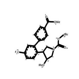 COC(=O)c1ccc(-c2cc(C(F)(F)F)ccc2C2CN(C(=O)OC(C)(C)C)CC2OC)cc1